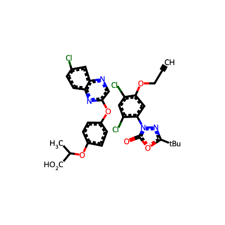 C#CCOc1cc(-n2nc(C(C)(C)C)oc2=O)c(Cl)cc1Cl.CC(Oc1ccc(Oc2cnc3cc(Cl)ccc3n2)cc1)C(=O)O